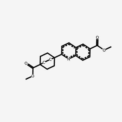 COC(=O)c1ccc2nc(C34CCC(C(=O)OC)(CC3)CC4)ccc2c1